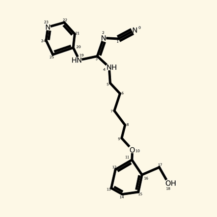 N#C/N=C(\NCCCCCOc1ccccc1CO)Nc1ccncc1